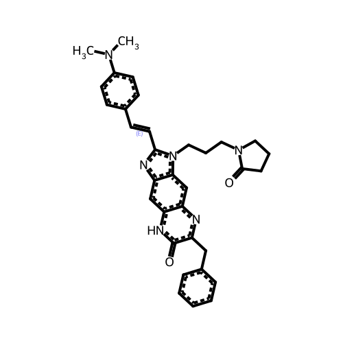 CN(C)c1ccc(/C=C/c2nc3cc4[nH]c(=O)c(Cc5ccccc5)nc4cc3n2CCCN2CCCC2=O)cc1